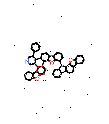 c1ccc(-c2cncc(-c3ccccc3)c2-c2ccc3c(oc4c(C5c6ccccc6-c6ccc7c(oc8ccccc87)c65)cccc43)c2-c2ccc3oc4ccccc4c3c2)cc1